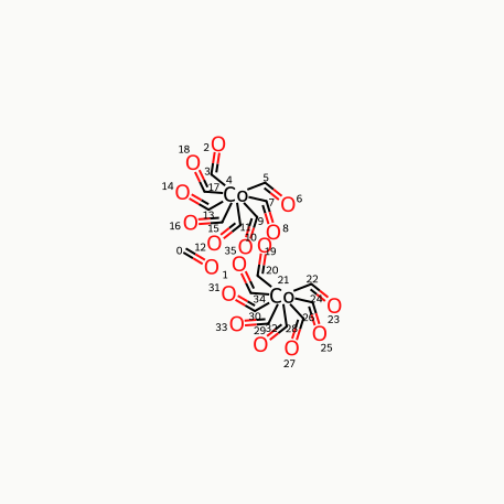 C=O.O=[CH][Co]([CH]=O)([CH]=O)([CH]=O)([CH]=O)([CH]=O)([CH]=O)[CH]=O.O=[CH][Co]([CH]=O)([CH]=O)([CH]=O)([CH]=O)([CH]=O)([CH]=O)[CH]=O